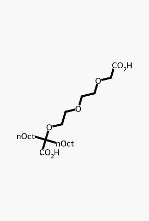 CCCCCCCCC(CCCCCCCC)(OCCOCCOCC(=O)O)C(=O)O